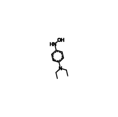 CCN(CC)c1ccc(NO)cc1